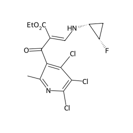 CCOC(=O)C(=CN[C@@H]1C[C@@H]1F)C(=O)c1c(C)nc(Cl)c(Cl)c1Cl